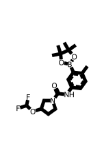 Cc1ccc(NC(=O)N2CCC(OC(F)F)C2)cc1B1OC(C)(C)C(C)(C)O1